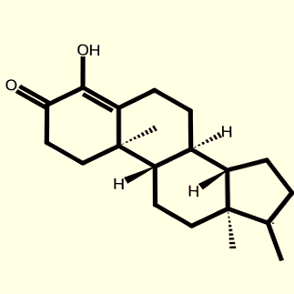 C[C]1CC[C@H]2[C@@H]3CCC4=C(O)C(=O)CC[C@]4(C)[C@H]3CC[C@]12C